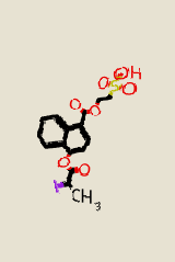 CC(I)C(=O)Oc1ccc(C(=O)OCCS(=O)(=O)O)c2ccccc12